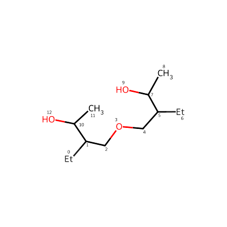 CCC(COCC(CC)C(C)O)C(C)O